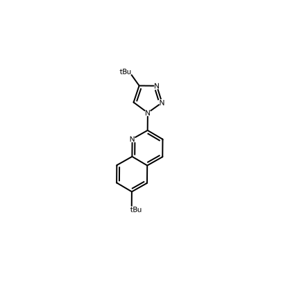 CC(C)(C)c1ccc2nc(-n3cc(C(C)(C)C)nn3)ccc2c1